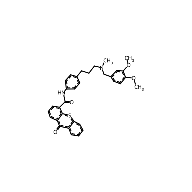 COc1ccc(CN(C)CCCc2ccc(NC(=O)c3cccc4c(=O)c5ccccc5sc34)cc2)cc1OC